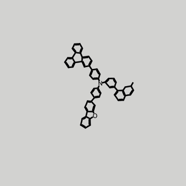 CC1C=Cc2cccc(-c3cccc(N(c4ccc(-c5ccc6c(c5)oc5ccccc56)cc4)c4ccc(-c5ccc6c7ccccc7c7ccccc7c6c5)cc4)c3)c2C1